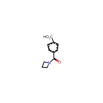 O=C(O)c1ccc(C(=O)N2CCC2)cc1